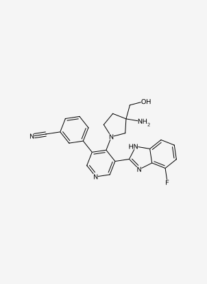 N#Cc1cccc(-c2cncc(-c3nc4c(F)cccc4[nH]3)c2N2CCC(N)(CO)C2)c1